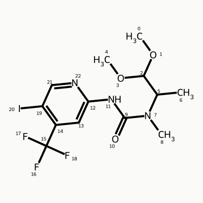 COC(OC)C(C)N(C)C(=O)Nc1cc(C(F)(F)F)c(I)cn1